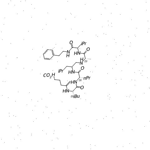 C=C(CCCC(=O)O)NC(C(=O)N[C@@H](CCC)C(=O)NC(CN[C@@H](C)C(=O)NC(C(=O)NCCc1ccccc1)C(C)C)CC(C)C)[C@@H](C)CC